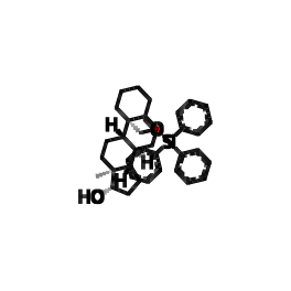 C[C@]12CC[C@H]3[C@@H](CC=C4CCCC[C@@]43CO[Si](c3ccccc3)(c3ccccc3)c3ccccc3)[C@@H]1CC[C@@H]2O